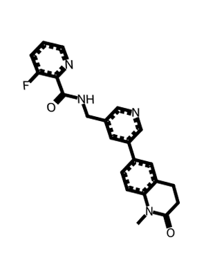 CN1C(=O)CCc2cc(-c3cncc(CNC(=O)c4ncccc4F)c3)ccc21